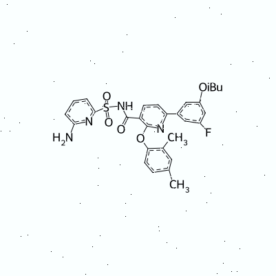 Cc1ccc(Oc2nc(-c3cc(F)cc(OCC(C)C)c3)ccc2C(=O)NS(=O)(=O)c2cccc(N)n2)c(C)c1